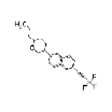 CCCC1CCC(c2ccc3cc(C#CC(F)(F)F)ccc3c2)CO1